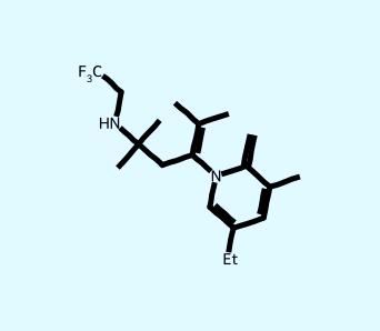 C=C1C(C)=CC(CC)=CN1C(CC(C)(C)NCC(F)(F)F)=C(C)C